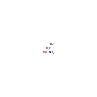 N.O.[OH-].[Rb+]